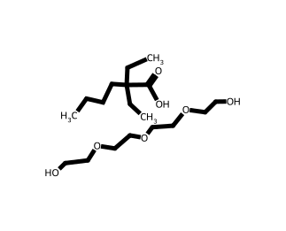 CCCCC(CC)(CC)C(=O)O.OCCOCCOCCOCCO